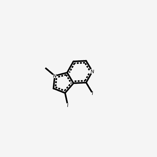 Cn1cc(I)c2c(I)nccc21